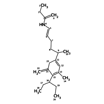 C=C(CC)N/C=C/CCC(C)C1=CC(C)=C(C(CC)CC)C(=C)C1